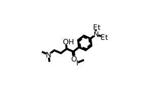 CCN(CC)c1ccc(C(=O)C(O)CCN(C)C)cc1.CI